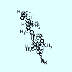 Cc1cc(Nc2ncc(Cl)c(Nc3ccccc3S(=O)(=O)C(C)C)n2)c(OC(C)C)cc1C1CCN(C(=O)CCCC(=O)N[C@H](C(=O)N2C[C@H](OC(=O)CCCCN=[N+]=[N-])C[C@H]2C(=O)N[C@@H](C)c2ccc(-c3scnc3C)cc2)C(C)(C)C)CC1